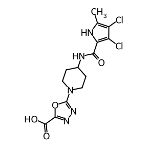 Cc1[nH]c(C(=O)NC2CCN(c3nnc(C(=O)O)o3)CC2)c(Cl)c1Cl